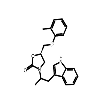 Cc1ccccc1OC[C@H]1CN(C(C)Cc2c[nH]c3ccccc23)C(=O)O1